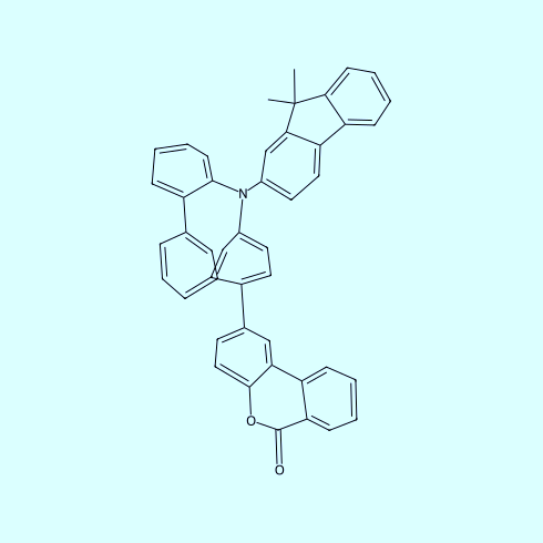 CC1(C)c2ccccc2-c2ccc(N(c3ccc(-c4ccc5oc(=O)c6ccccc6c5c4)cc3)c3ccccc3-c3ccccc3)cc21